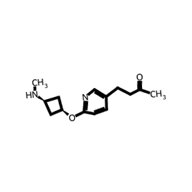 CN[C@H]1C[C@@H](Oc2ccc(CCC(C)=O)cn2)C1